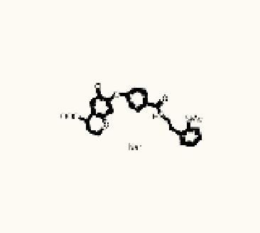 CSc1ccccc1CCNC(=O)c1ccc(Oc2cc3c(cc2Cl)C(C(=O)[O-])CCO3)cc1.[Na+]